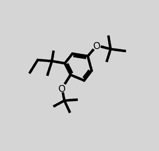 CCC(C)(C)c1cc(OC(C)(C)C)ccc1OC(C)(C)C